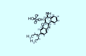 CCN(CC)c1ccc2nc3c4ccccc4c(=N)cc-3oc2c1.O=S(=O)(O)O